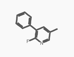 Cc1cnc(F)c(-c2ccccc2)c1